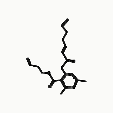 C=CCC/C=C/C(=O)Cc1cc(C)cc(C)c1C(=O)OCCC=C